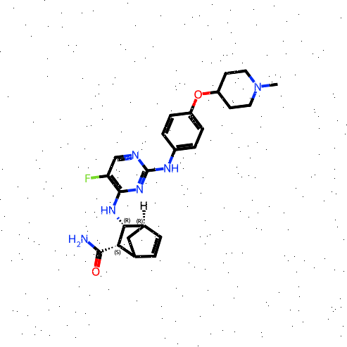 CN1CCC(Oc2ccc(Nc3ncc(F)c(N[C@@H]4[C@H]5C=CC(C5)[C@@H]4C(N)=O)n3)cc2)CC1